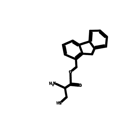 NC(CS)C(=O)OCc1cccc2c1Cc1ccccc1-2